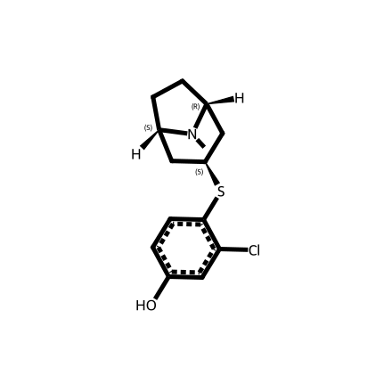 CN1[C@@H]2CC[C@H]1C[C@H](Sc1ccc(O)cc1Cl)C2